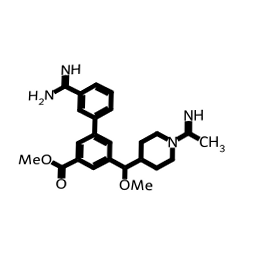 COC(=O)c1cc(-c2cccc(C(=N)N)c2)cc(C(OC)C2CCN(C(C)=N)CC2)c1